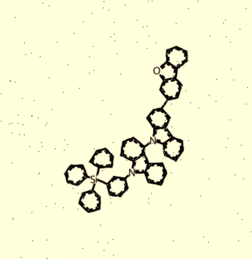 c1ccc([Si](c2ccccc2)(c2ccccc2)c2cccc(-n3c4ccccc4c4c(-n5c6ccccc6c6cc(-c7ccc8c(c7)oc7ccccc78)ccc65)cccc43)c2)cc1